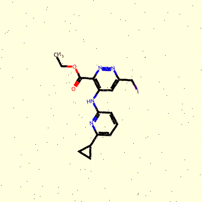 CCOC(=O)c1nnc(CI)cc1Nc1cccc(C2CC2)n1